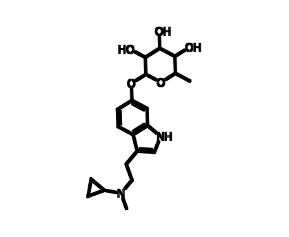 CC1OC(Oc2ccc3c(CCN(C)C4CC4)c[nH]c3c2)C(O)C(O)C1O